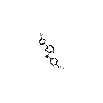 Cc1ccc(Nc2nccc(-c3ccc(Br)s3)n2)cc1